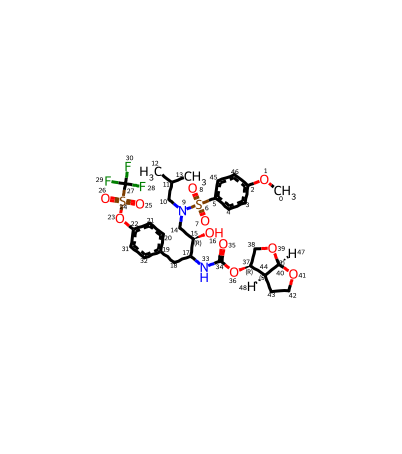 COc1ccc(S(=O)(=O)N(CC(C)C)C[C@@H](O)C(Cc2ccc(OS(=O)(=O)C(F)(F)F)cc2)NC(=O)O[C@H]2CO[C@H]3OCC[C@H]32)cc1